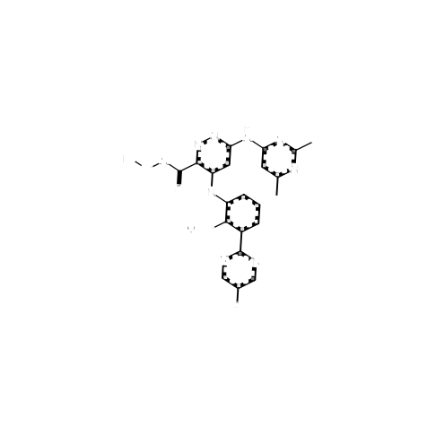 CCONC(=O)c1nnc(Nc2cc(C)nc(C)n2)cc1Nc1cccc(-c2ncc(F)cn2)c1OC